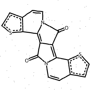 O=C1C2=C3c4sccc4C=CN3C(=O)C2=C2c3sccc3C=CN12